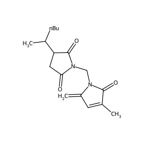 C=C1C=C(C)C(=O)N1CN1C(=O)CC(C(C)CCCC)C1=O